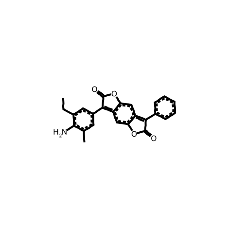 CCc1cc(C2=c3cc4c(cc3OC2=O)=C(c2ccccc2)C(=O)O4)cc(C)c1N